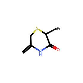 C=C1CSC(C(C)C)C(=O)N1